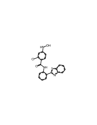 O=C(Nc1ccccc1-c1nc2ccccc2s1)c1ccc(NO)cc1Cl